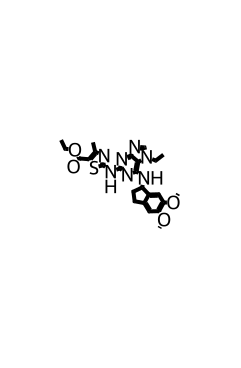 CCOC(=O)c1sc(Nc2nc(NC3CCc4cc(OC)c(OC)cc43)c3c(ncn3CC)n2)nc1C